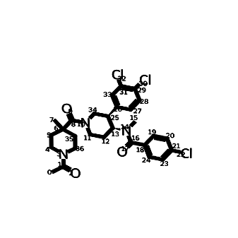 CC(=O)N1CCC(C)(C(=O)N2CC[C@@H](N(C)C(=O)c3ccc(Cl)cc3)[C@H](c3ccc(Cl)c(Cl)c3)C2)CC1